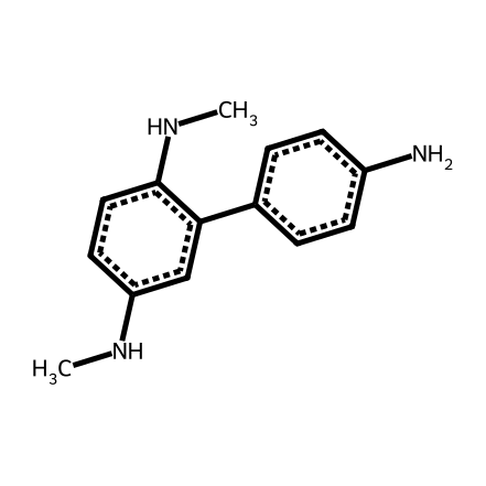 CNc1ccc(NC)c(-c2ccc(N)cc2)c1